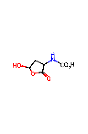 O=C(O)NC1C[C@H](O)OC1=O